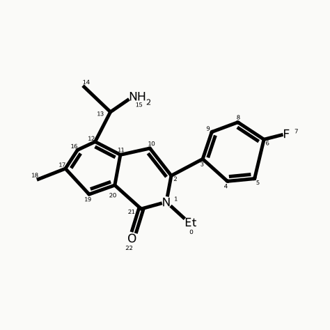 CCn1c(-c2ccc(F)cc2)cc2c(C(C)N)cc(C)cc2c1=O